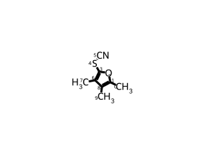 Cc1oc(SC#N)c(C)c1C